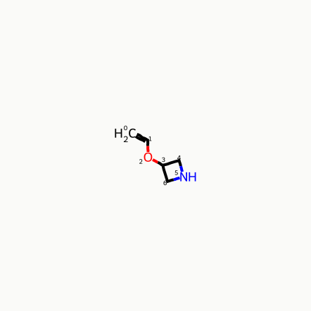 C=COC1CNC1